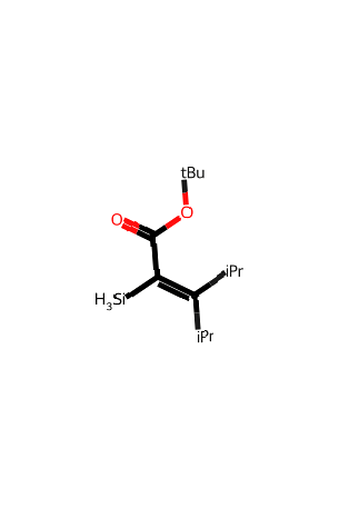 CC(C)C(=C([SiH3])C(=O)OC(C)(C)C)C(C)C